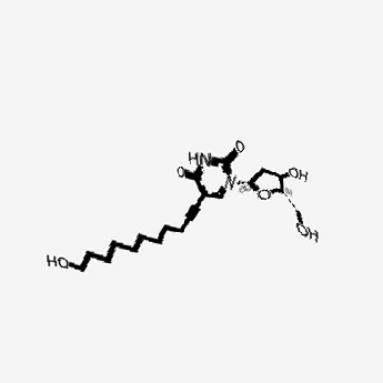 O=c1[nH]c(=O)n([C@@H]2CC(O)[C@H](CO)O2)cc1C#CCCCCCCCCCO